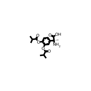 CC(C)C(=O)Oc1ccc([C@](C)(N)C(=O)O)cc1OC(=O)C(C)C